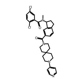 CN(C(=O)c1cc(Cl)ccc1Cl)C1CCc2ccc(C(=O)N3CCC4(CC3)CCN(c3ccncc3)CC4)cc21